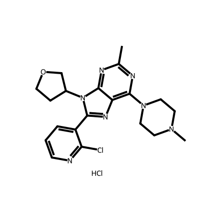 Cc1nc(N2CCN(C)CC2)c2nc(-c3cccnc3Cl)n(C3CCOC3)c2n1.Cl